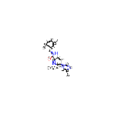 COc1nc(C(=O)NCc2cc(C)ccc2C)ccc1-n1cnc(C)c1